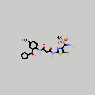 Cc1ccc(NC(=O)CC(=O)Nc2nc(C(N)S(C)(=O)=O)c(Cl)s2)c(C(=O)C2CCCC2)c1